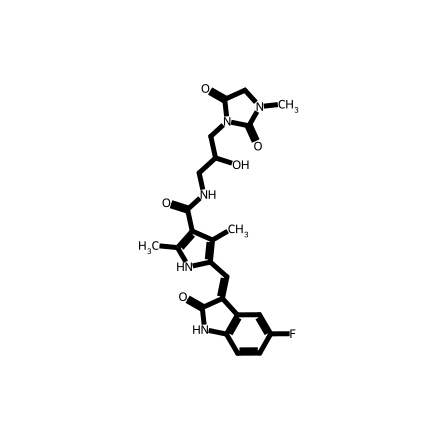 Cc1[nH]c(C=C2C(=O)Nc3ccc(F)cc32)c(C)c1C(=O)NCC(O)CN1C(=O)CN(C)C1=O